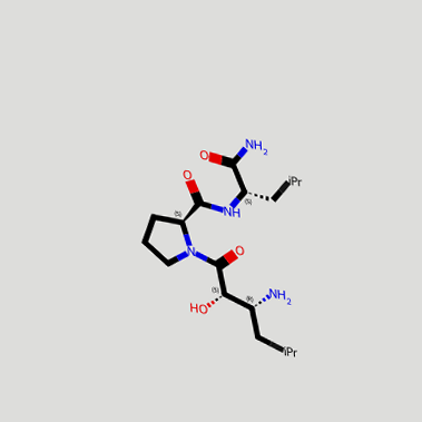 CC(C)C[C@H](NC(=O)[C@@H]1CCCN1C(=O)[C@@H](O)[C@H](N)CC(C)C)C(N)=O